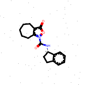 O=C(N[C@H]1CCc2ccccc21)n1oc(=O)c2c1CCCCC2